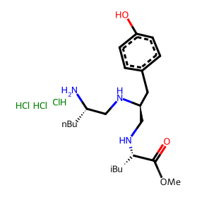 CCCC[C@H](N)CN[C@H](CN[C@H](C(=O)OC)[C@@H](C)CC)Cc1ccc(O)cc1.Cl.Cl.Cl